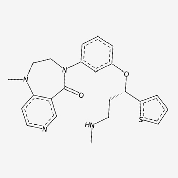 CNCC[C@H](Oc1cccc(N2CCN(C)c3ccncc3C2=O)c1)c1cccs1